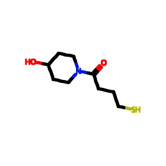 O=C(CCCS)N1CCC(O)CC1